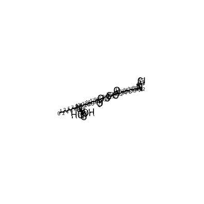 CCCCCCCCCCN(CCCCCCCCCC(=O)OCCSSCCOC(=O)CCCCCCCCCN(C)CCCl)CCP(=O)(O)O